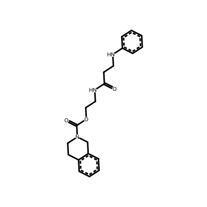 O=C(CCNc1ccccc1)NCCOC(=O)N1CCc2ccccc2C1